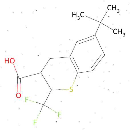 CC(C)(C)c1ccc2c(c1)CC(C(=O)O)C(C(F)(F)F)S2